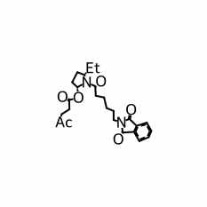 CC[C@@H]1CC[C@H](OC(=O)CCC(C)=O)N1C(=O)CCCCCN1C(=O)c2ccccc2C1=O